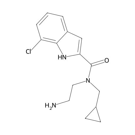 NCCN(CC1CC1)C(=O)c1cc2cccc(Cl)c2[nH]1